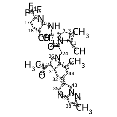 C#C[C@@H]1[C@@H](C)C[C@@H](C(=O)Nc2nc(C(F)(F)F)ccc2C)N1C(=O)Cn1cc(C(C)=O)c2cc(-c3cnc4cc(C)nn4c3)cc(C)c21